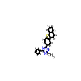 Cc1nc(-c2ccccc2)nc(C2C=Cc3sc4c(ccc5ccccc54)c3C=C2)n1